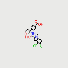 Cn1c(C(O)NC2(c3ccc(C(=O)O)cc3)CCOC2)cc2c(Cl)c(Cl)ccc21